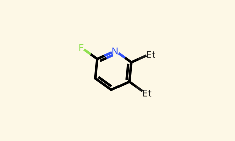 CCc1ccc(F)nc1CC